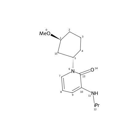 CO[C@H]1CCC[C@H](n2cccc(NC(C)C)c2=O)C1